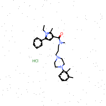 CCn1c(-c2ccccc2)cc(C(=O)N(C)CCCN2CCN(c3cccc(C)c3C)CC2)c1C.Cl